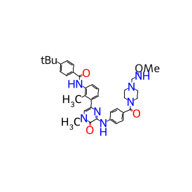 CONCN1CCN(C(=O)c2ccc(Nc3nc(-c4cccc(NC(=O)c5ccc(C(C)(C)C)cc5)c4C)cn(C)c3=O)cc2)CC1